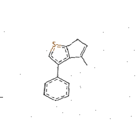 CC1=CCc2scc(-c3ccccc3)c21